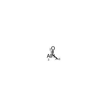 CC=O.[AlH3]